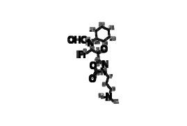 CC(C)C(C(=O)c1nn(CCCN(C)C)c(=O)o1)N(C=O)C1CCCCC1